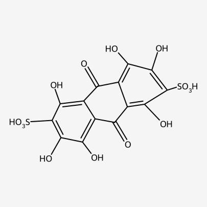 O=C1c2c(O)c(O)c(S(=O)(=O)O)c(O)c2C(=O)c2c(O)c(O)c(S(=O)(=O)O)c(O)c21